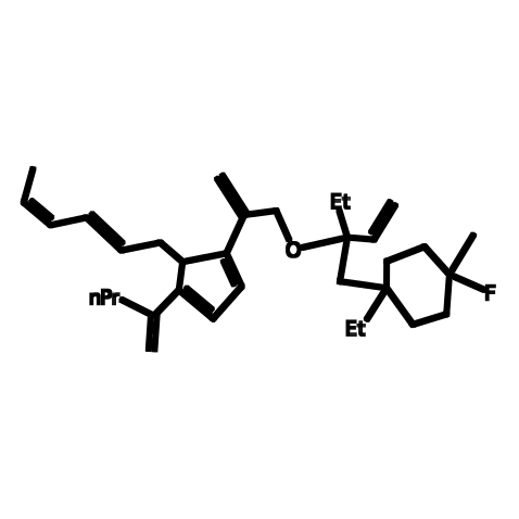 C=CC(CC)(CC1(CC)CCC(C)(F)CC1)OCC(=C)C1=CC=C(C(=C)CCC)C1C/C=C/C=C\C